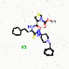 CC(C)OC(=O)N1CSC[C@H]1C(=O)N[C@H](CCC1CCCCC1)C(=S)NC1CCN(Cc2ccccc2)CC1.Cl